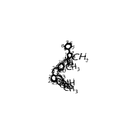 Cc1cc(-c2ccccc2)cc2c1nc(C)n2Cc1ccc2c(c1)CCc1ccccc1C2=CC(=O)NS(C)(=O)=O